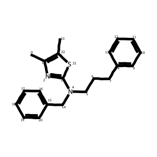 Cc1nc(N(CCCc2ccccc2)Cc2ccccc2)sc1C